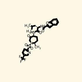 CC(C)C[C@H](NC(=O)c1cc2ccccc2o1)C(=O)N[C@H]1CC[C@@H](C)N(S(=O)(=O)c2ccc(C(F)(F)F)cn2)CC1=O